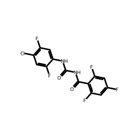 O=C(NC(=O)c1c(F)cc(F)cc1F)Nc1cc(F)c(Cl)cc1F